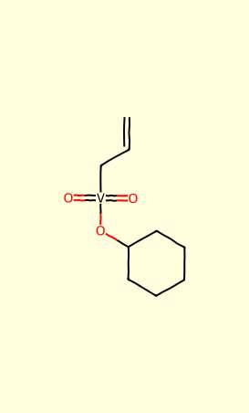 C=C[CH2][V](=[O])(=[O])[O]C1CCCCC1